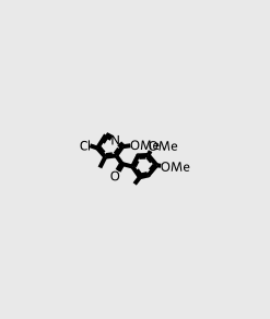 COc1cc(C)c(C(=O)c2c(OC)ncc(Cl)c2C)cc1OC